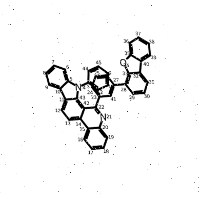 c1ccc(-n2c3ccccc3c3ccc4c5ccccc5nc(-c5cccc(-c6cccc7c6oc6ccccc67)c5)c4c32)cc1